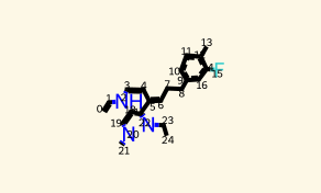 C=CN\C=C/C(=C\CCc1ccc(C)c(F)c1)C(/C=C\N=C)=N\CC